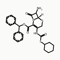 NC1C(=O)N2C(C(=O)OC(c3ccccc3)c3ccccc3)=C(NC(=O)SC3CCCCC3)CS[C@@H]12